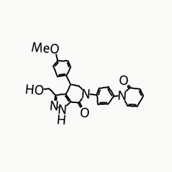 COc1ccc(C2CN(c3ccc(-n4ccccc4=O)cc3)C(=O)c3[nH]nc(CO)c32)cc1